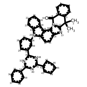 CC1(C)c2ccccc2C(=O)n2c1nc1ccc3c(c4ccccc4n3-c3cccc(-c4nc(-c5ccccc5)nc(-c5ccccc5)n4)c3)c12